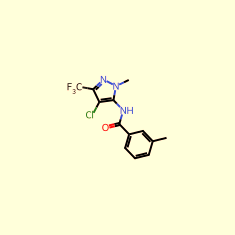 Cc1cccc(C(=O)Nc2c(Cl)c(C(F)(F)F)nn2C)c1